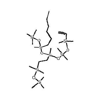 C=C[Si](C)(C)O[Si](C)(C)O[Si](C)(CC[Si](C)(C)O[Si](C)(C)C)O[Si](C)(CCCCCC)O[Si](C)(C)C